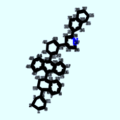 C1=CCCC(C2=c3ccccc3=C(c3c4ccccc4c(C4=CC(c5ccnc(-c6ccc7c(c6)CCC=C7)c5)=CCC4)c4ccccc34)CC2)=C1